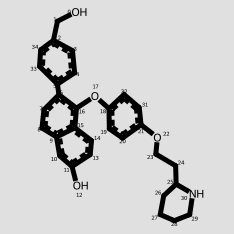 OCc1ccc(-c2ccc3cc(O)ccc3c2Oc2ccc(OCCC3CCCCN3)cc2)cc1